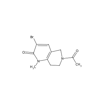 CC(=O)N1CCc2c(cc(Br)c(=O)n2C)C1